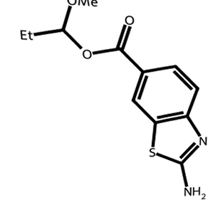 CCC(OC)OC(=O)c1ccc2nc(N)sc2c1